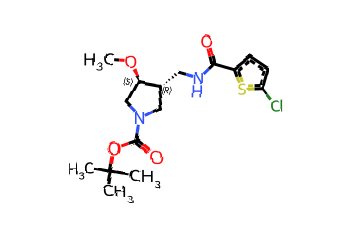 CO[C@@H]1CN(C(=O)OC(C)(C)C)C[C@H]1CNC(=O)c1ccc(Cl)s1